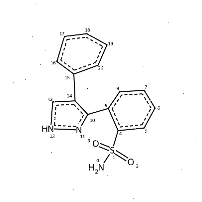 NS(=O)(=O)c1ccccc1-c1n[nH]cc1-c1ccccc1